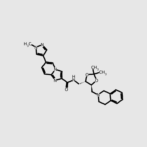 Cn1cc(-c2ccc3nc(C(=O)NC[C@@H]4OC(C)(C)O[C@H]4CN4CCc5ccccc5C4)cn3c2)cn1